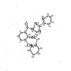 Cc1cccc(C(=O)n2nc(-c3ccccn3)nc2NCc2ccccc2)c1